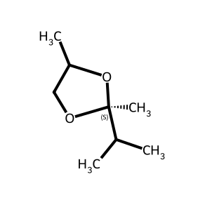 CC1CO[C@](C)(C(C)C)O1